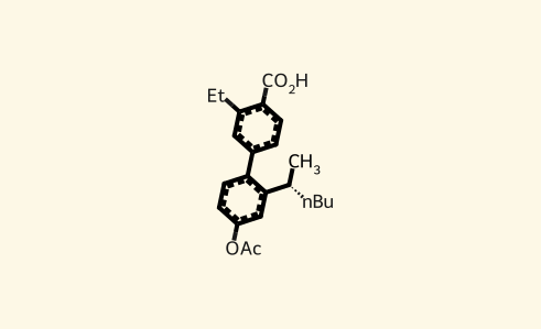 CCCC[C@@H](C)c1cc(OC(C)=O)ccc1-c1ccc(C(=O)O)c(CC)c1